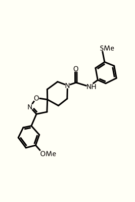 COc1cccc(C2=NOC3(CCN(C(=O)Nc4cccc(SC)c4)CC3)C2)c1